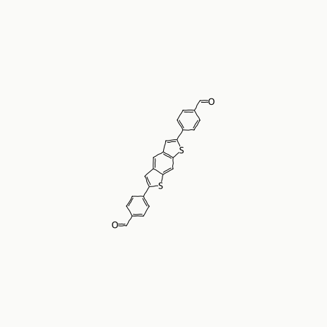 O=Cc1ccc(-c2cc3cc4cc(-c5ccc(C=O)cc5)sc4cc3s2)cc1